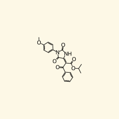 COc1ccc(N2C(=O)NC(=C(C(=O)OC(C)C)C(=O)c3ccccc3)C2=O)cc1